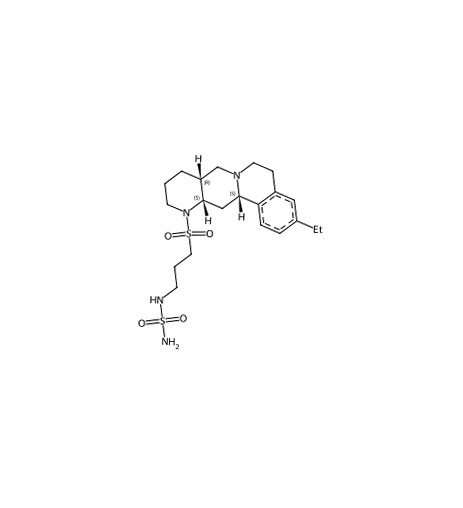 CCc1ccc2c(c1)CCN1C[C@H]3CCCN(S(=O)(=O)CCCNS(N)(=O)=O)[C@H]3C[C@@H]21